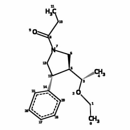 CCO[C@@H](C)[C@@H]1CN(C(=O)CC)C[C@H]1c1ccccc1